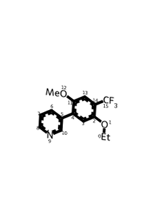 CCOc1cc(-c2cccnc2)c(OC)cc1C(F)(F)F